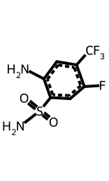 Nc1cc(C(F)(F)F)c(F)cc1S(N)(=O)=O